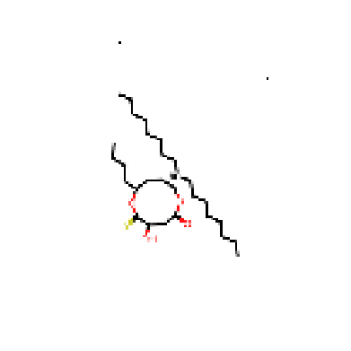 CCCCC1CCCOC(=O)CC(O)C(=S)O1.CCCCCCC[CH2][Sn][CH2]CCCCCCC